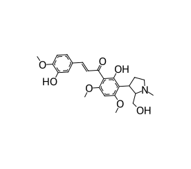 COc1ccc(C=CC(=O)c2c(OC)cc(OC)c(C3CCN(C)C3CO)c2O)cc1O